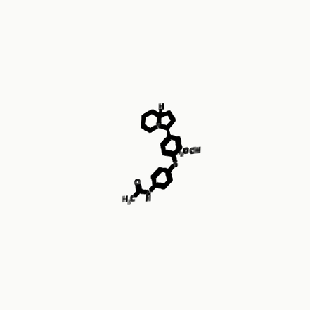 CC(=O)Nc1ccc(Sc2ccc([C@@H]3CC[C@H]4CCCCN43)cc2)cc1.Cl.O